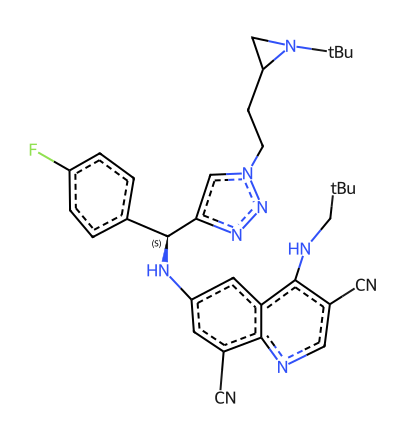 CC(C)(C)CNc1c(C#N)cnc2c(C#N)cc(N[C@@H](c3ccc(F)cc3)c3cn(CCC4CN4C(C)(C)C)nn3)cc12